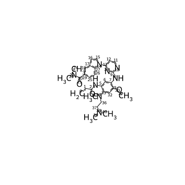 C=CC(=O)Nc1cc(Nc2nccc(-n3ccc4cc(C(=O)N(C)C)ccc43)n2)c(OC)cc1N(C)CCN(C)C